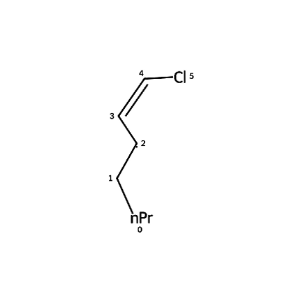 CCCC[CH]/C=C\Cl